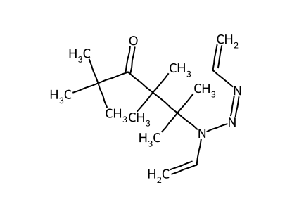 C=C/N=N\N(C=C)C(C)(C)C(C)(C)C(=O)C(C)(C)C